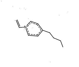 C=C[n+]1ccc(CCCC)cc1